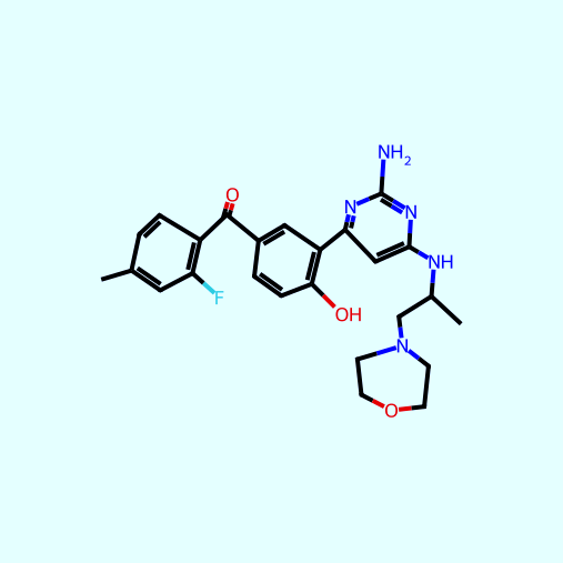 Cc1ccc(C(=O)c2ccc(O)c(-c3cc(NC(C)CN4CCOCC4)nc(N)n3)c2)c(F)c1